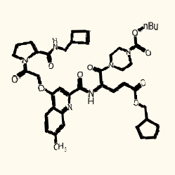 CCCCOC(=O)N1CCN(C(=O)C(CCC(=O)OCC2CCCC2)NC(=O)c2cc(OCC(=O)N3CCCC3C(=O)NCC3CCC3)c3ccc(C)cc3n2)CC1